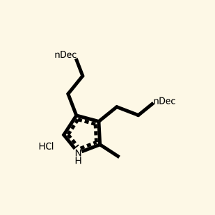 CCCCCCCCCCCCc1c[nH]c(C)c1CCCCCCCCCCCC.Cl